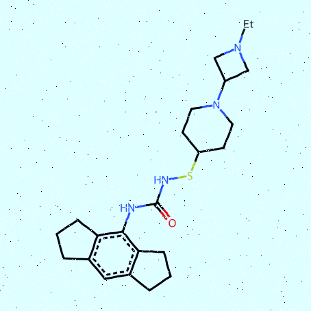 CCN1CC(N2CCC(SNC(=O)Nc3c4c(cc5c3CCC5)CCC4)CC2)C1